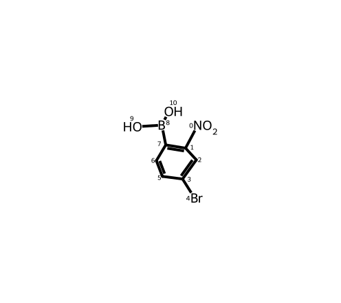 O=[N+]([O-])c1cc(Br)ccc1B(O)O